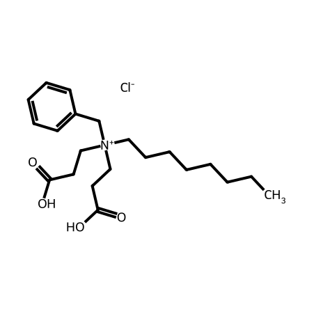 CCCCCCCC[N+](CCC(=O)O)(CCC(=O)O)Cc1ccccc1.[Cl-]